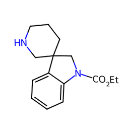 CCOC(=O)N1CC2(CCCNC2)c2ccccc21